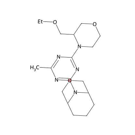 CCOCC1COCCN1c1nc(C)nc(N2C3CCCC2COC3)n1